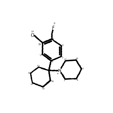 Fc1ccc(C2(N3CCCCC3)C[CH]CCC2)cc1Cl